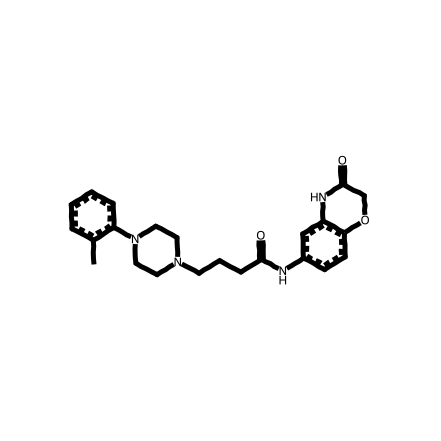 Cc1ccccc1N1CCN(CCCC(=O)Nc2ccc3c(c2)NC(=O)CO3)CC1